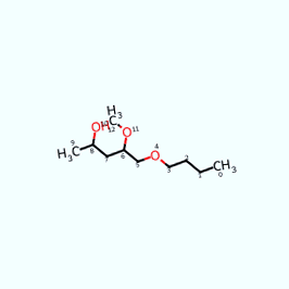 CCCCOCC(CC(C)O)OC